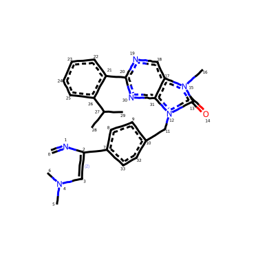 C=N/C(=C\N(C)C)c1ccc(Cn2c(=O)n(C)c3cnc(-c4ccccc4C(C)C)nc32)cc1